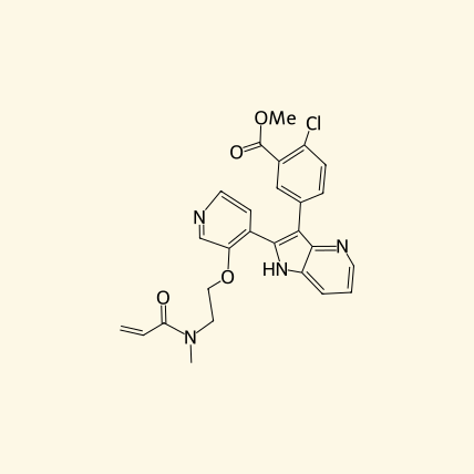 C=CC(=O)N(C)CCOc1cnccc1-c1[nH]c2cccnc2c1-c1ccc(Cl)c(C(=O)OC)c1